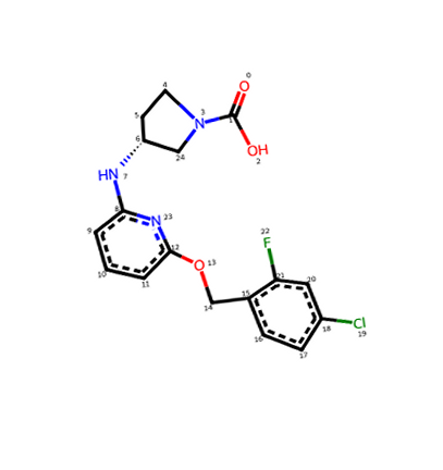 O=C(O)N1CC[C@@H](Nc2cccc(OCc3ccc(Cl)cc3F)n2)C1